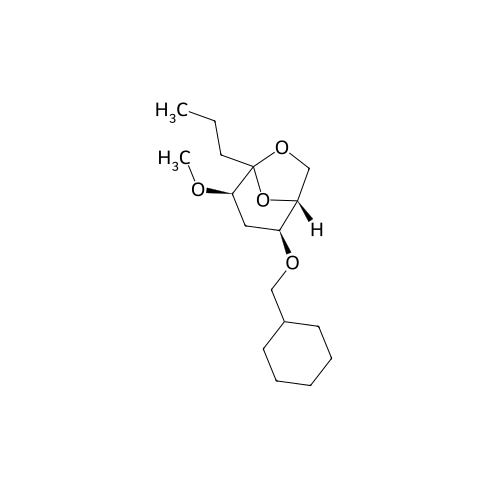 CCCC12OC[C@@H](O1)[C@@H](OCC1CCCCC1)C[C@H]2OC